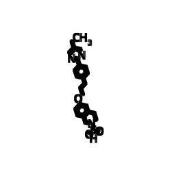 CCc1cnc(-c2ccc(CCCOc3ccc4c(c3)CCN([SH](=O)=O)C4)cc2)nc1